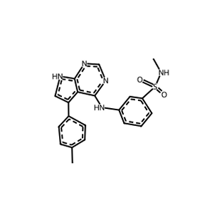 CNS(=O)(=O)c1cccc(Nc2ncnc3[nH]cc(-c4ccc(C)cc4)c23)c1